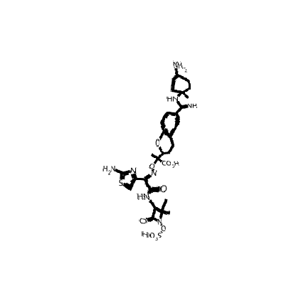 CC1(NC(=N)c2ccc3c(c2)CCC(C(C)(ON=C(C(=O)NC2C(=O)N(OS(=O)(=O)O)C2(C)C)c2csc(N)n2)C(=O)O)O3)CCC(N)CC1